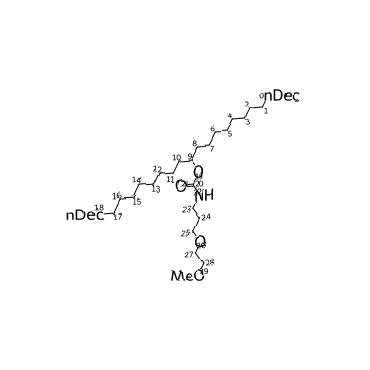 CCCCCCCCCCCCCCCCCCC(CCCCCCCCCCCCCCCCCC)OC(=O)NCCCOCCOC